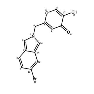 O=c1cc(Cn2cc3ccc(Br)cc3c2)occ1O